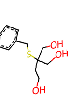 OCCC(CO)(CO)SCc1ccccc1